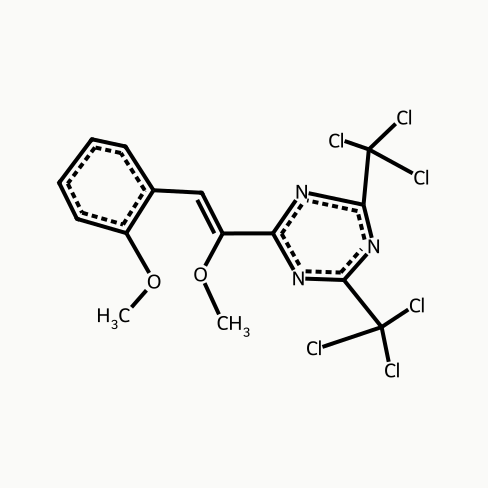 COC(=Cc1ccccc1OC)c1nc(C(Cl)(Cl)Cl)nc(C(Cl)(Cl)Cl)n1